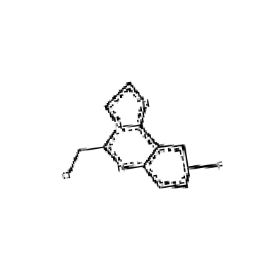 Fc1ccc2nc(CCl)n3ccnc3c2c1